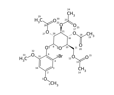 COc1cc(Br)c(OC2O[C@H](COC(C)=O)[C@@H](OC(C)=O)[C@H](OC(C)=O)[C@H]2OC(C)=O)c(OC)c1